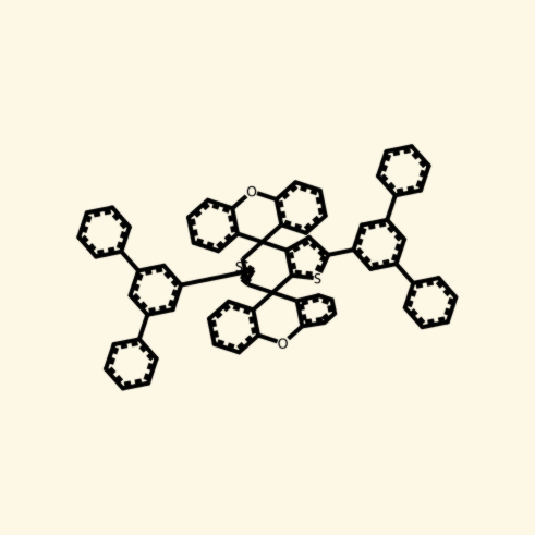 c1ccc(-c2cc(-c3ccccc3)cc(-c3cc4c(s3)C3(c5ccccc5Oc5ccccc53)c3cc(-c5cc(-c6ccccc6)cc(-c6ccccc6)c5)sc3C43c4ccccc4Oc4ccccc43)c2)cc1